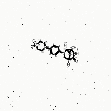 CC1(C)C[C@@H]2CN(c3ccc(N4CCS(=O)(=O)CC4)cc3)[C@H]1CNC2=O